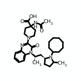 CC(=O)NC1(C(=O)O)CCN(c2nc3ccccc3n([C@@H](C)C[C@@H]3CCC(C)N3C3CCCCCCC3)c2=O)CC1